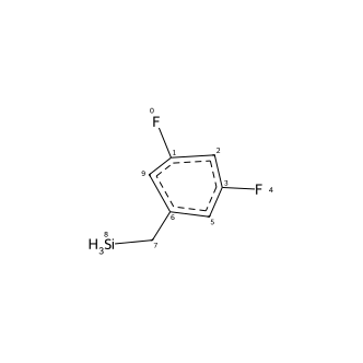 Fc1cc(F)cc(C[SiH3])c1